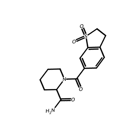 NC(=O)C1CCCCN1C(=O)c1ccc2c(c1)S(=O)(=O)CC2